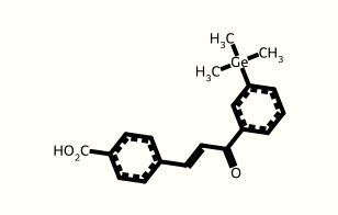 [CH3][Ge]([CH3])([CH3])[c]1cccc(C(=O)C=Cc2ccc(C(=O)O)cc2)c1